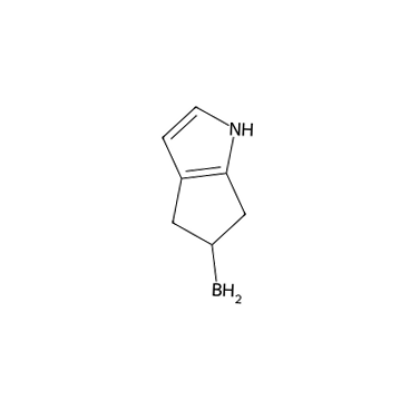 BC1Cc2cc[nH]c2C1